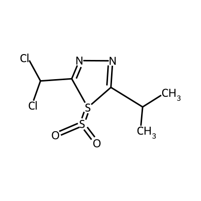 CC(C)C1=NN=C(C(Cl)Cl)S1=S(=O)=O